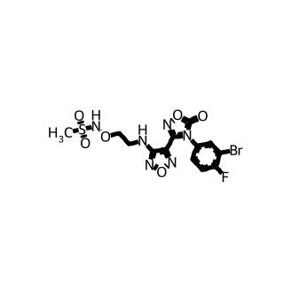 CS(=O)(=O)NOCCNc1nonc1-c1noc(=O)n1-c1ccc(F)c(Br)c1